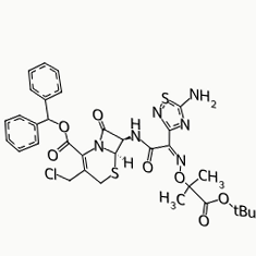 CC(C)(C)OC(=O)C(C)(C)O/N=C(\C(=O)N[C@@H]1C(=O)N2C(C(=O)OC(c3ccccc3)c3ccccc3)=C(CCl)CS[C@H]12)c1nsc(N)n1